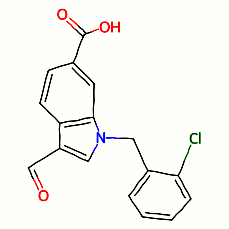 O=Cc1cn(Cc2ccccc2Cl)c2cc(C(=O)O)ccc12